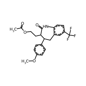 COc1ccc(C2Cc3cc(C(F)(F)F)ccc3NC(=O)C2CCOC(C)=O)cc1